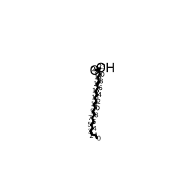 CC/C=C\C/C=C/C/C=C/C/C=C/C/C=C/C/C=C/CCC(=O)O